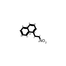 O=[N+]([O-])CCc1cccc2ccccc12